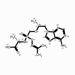 CC(C)=NOP(=O)(CO[C@H](C)Cn1cnc2c(N)ncnc21)N[C@@H](C)C(=O)O